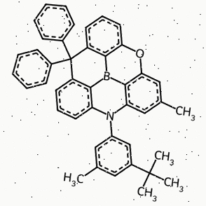 Cc1cc(N2c3cc(C)cc4c3B3c5c(cccc5C(c5ccccc5)(c5ccccc5)c5cccc2c53)O4)cc(C(C)(C)C)c1